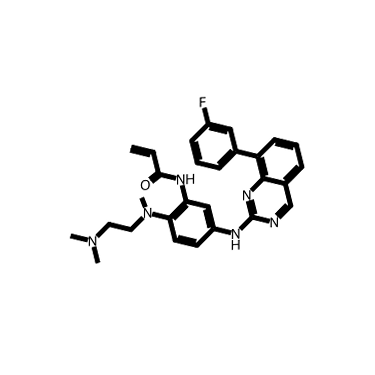 C=CC(=O)Nc1cc(Nc2ncc3cccc(-c4cccc(F)c4)c3n2)ccc1N(C)CCN(C)C